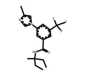 CCC(C)(CC)NC(=O)c1cc(-n2cnc(C)c2)cc(C(F)(F)F)c1